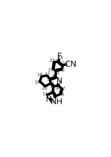 N#Cc1cc(-c2nc3ccc4[nH]ncc4c3c3c2CCCC3)ccc1F